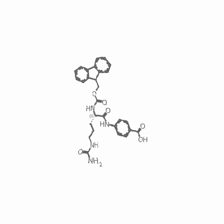 NC(=O)NCCC[C@H](NC(=O)OCC1c2ccccc2-c2ccccc21)C(=O)Nc1ccc(C(=O)O)cc1